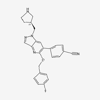 N#Cc1ccc(-c2cc3c(cnn3C[C@H]3CCNC3)nc2OCc2ccc(F)cc2)cc1